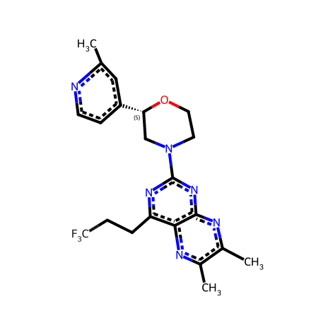 Cc1cc([C@H]2CN(c3nc(CCC(F)(F)F)c4nc(C)c(C)nc4n3)CCO2)ccn1